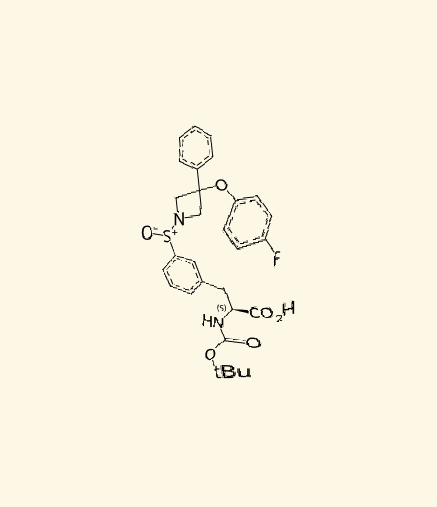 CC(C)(C)OC(=O)N[C@@H](Cc1cccc([S+]([O-])N2CC(Oc3ccc(F)cc3)(c3ccccc3)C2)c1)C(=O)O